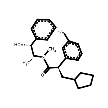 C[C@H]([C@H](O)c1ccccc1)N(C)C(=O)[C@H](CC1CCCC1)c1cccc(C(F)(F)F)c1